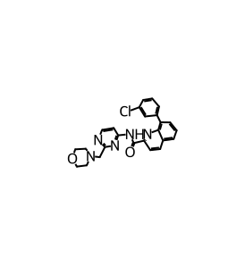 O=C(Nc1ccnc(CN2CCOCC2)n1)c1ccc2cccc(-c3cccc(Cl)c3)c2n1